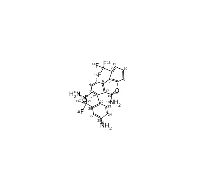 NC(=O)c1ccc(-c2ccccc2C(F)(F)F)c(C(N)=O)c1-c1ccc(N)cc1C(F)(F)F